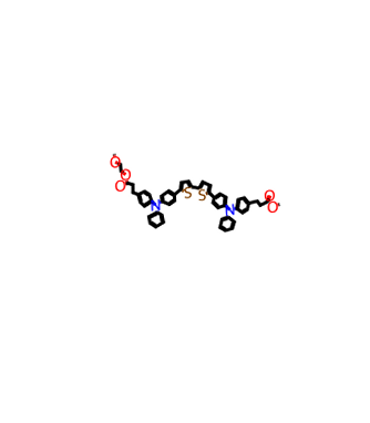 COCCOC(=O)CCc1ccc(N(c2ccccc2)c2ccc(-c3ccc(-c4ccc(-c5ccc(N(c6ccccc6)c6ccc(CCC(=O)OC)cc6)cc5)s4)s3)cc2)cc1